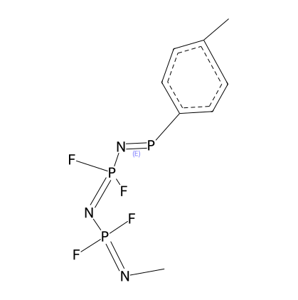 CN=P(F)(F)N=P(F)(F)/N=P/c1ccc(C)cc1